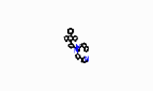 c1ccc(-c2c3ccccc3c(-c3cccc(-c4nc(-c5cccc(-c6cccnc6)c5)cc(-c5cccc6ccccc56)n4)c3)c3ccccc23)cc1